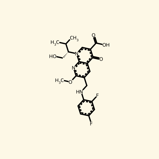 COc1nc2c(cc1CNc1ccc(F)cc1F)c(=O)c(C(=O)O)cn2[C@H](CO)C(C)C